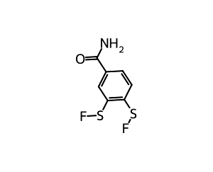 NC(=O)c1ccc(SF)c(SF)c1